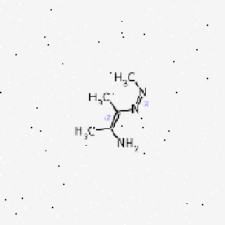 C/N=N\C(C)=C(\C)N